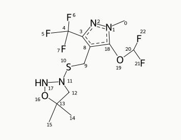 Cn1nc(C(F)(F)F)c(CSN2CC(C)(C)ON2)c1OC(F)F